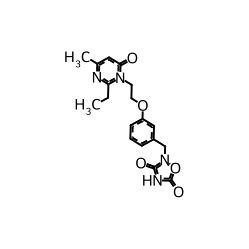 CCc1nc(C)cc(=O)n1CCOc1cccc(Cn2oc(=O)[nH]c2=O)c1